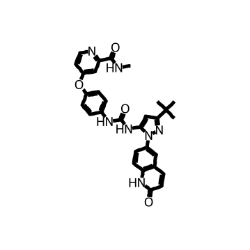 CNC(=O)c1cc(Oc2ccc(NC(=O)Nc3cc(C(C)(C)C)nn3-c3ccc4[nH]c(=O)ccc4c3)cc2)ccn1